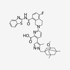 COC12CC3(C)CC(C)(CC(Cn4ncc(-c5ccc(N6CCc7c(F)ccc(C(=O)Nc8nc9ccccc9s8)c7C6)nc5C(=O)O)c4C)(C3)C1)C2